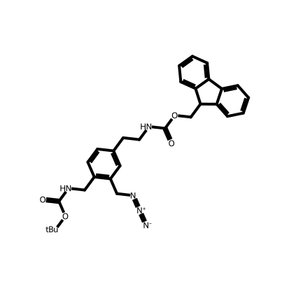 CC(C)(C)OC(=O)NCc1ccc(CCNC(=O)OCC2c3ccccc3-c3ccccc32)cc1CN=[N+]=[N-]